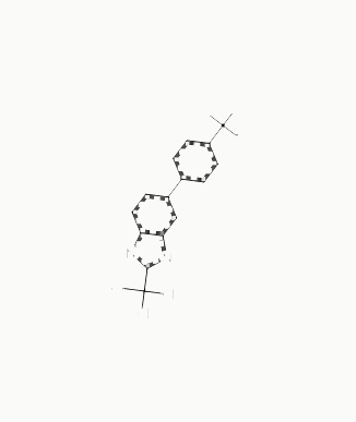 FC(F)(F)c1ccc(-c2ccc3[nH]c(C(Cl)(Cl)Cl)nc3c2)cc1